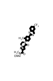 CON(C)C(=O)c1cc2n(n1)CCN(c1ccc(-c3ncc4cc(C(F)(F)F)ccc4n3)cc1C)C2=O